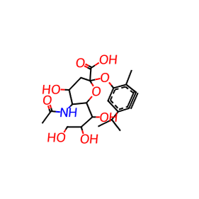 CC(=O)NC1C(O)CC(Oc2cc(C(C)C)c#cc2C)(C(=O)O)OC1C(O)C(O)CO